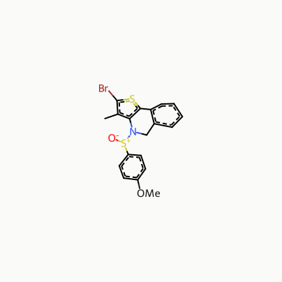 COc1ccc([S+]([O-])N2Cc3ccccc3-c3sc(Br)c(C)c32)cc1